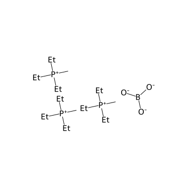 CC[P+](C)(CC)CC.CC[P+](C)(CC)CC.CC[P+](C)(CC)CC.[O-]B([O-])[O-]